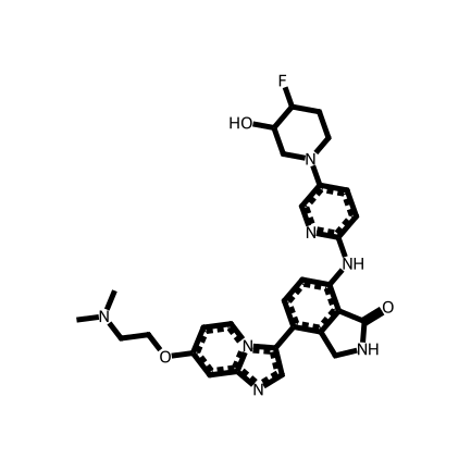 CN(C)CCOc1ccn2c(-c3ccc(Nc4ccc(N5CCC(F)C(O)C5)cn4)c4c3CNC4=O)cnc2c1